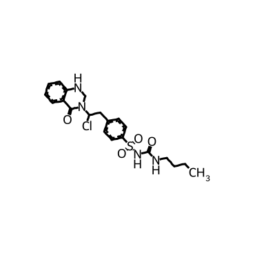 CCCCNC(=O)NS(=O)(=O)c1ccc(CC(Cl)N2CNc3ccccc3C2=O)cc1